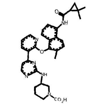 Cc1ccc2c(NC(=O)C3CC3(C)C)cccc2c1Oc1ncccc1-c1ccnc(NC2CCCN(C(=O)O)C2)n1